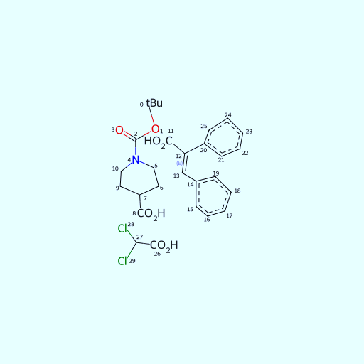 CC(C)(C)OC(=O)N1CCC(C(=O)O)CC1.O=C(O)/C(=C/c1ccccc1)c1ccccc1.O=C(O)C(Cl)Cl